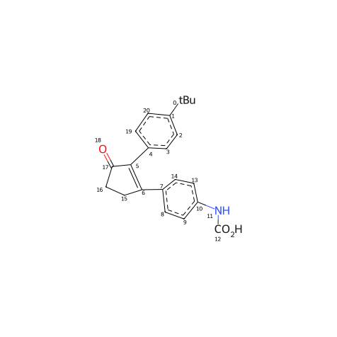 CC(C)(C)c1ccc(C2=C(c3ccc(NC(=O)O)cc3)CCC2=O)cc1